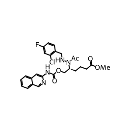 COC(=O)CCC[C@@H](COC(=O)Nc1cc2ccccc2cn1)N(NCc1ccc(F)cc1Cl)C(C)=O